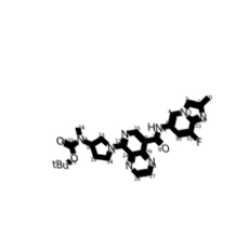 Cc1cn2cc(NC(=O)c3cnc(N4CCC(N(C)C(=O)OC(C)(C)C)C4)c4nccnc34)cc(F)c2n1